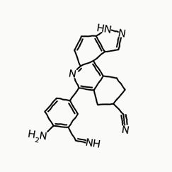 N#CC1CCc2c(c(-c3ccc(N)c(C=N)c3)nc3ccc4[nH]ncc4c23)C1